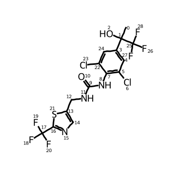 CC(O)(c1cc(Cl)c(NC(=O)NCc2cnc(C(F)(F)F)s2)c(Cl)c1)C(F)(F)F